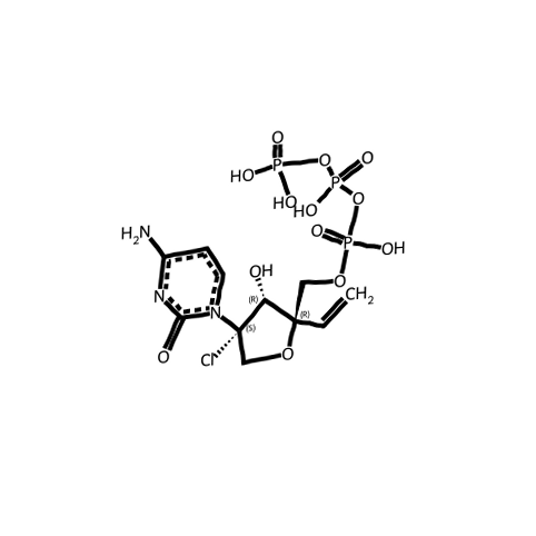 C=C[C@]1(COP(=O)(O)OP(=O)(O)OP(=O)(O)O)OC[C@@](Cl)(n2ccc(N)nc2=O)[C@@H]1O